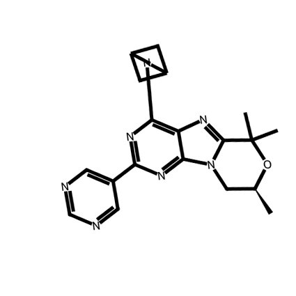 C[C@H]1Cn2c(nc3c(N4CC5CC4C5)nc(-c4cncnc4)nc32)C(C)(C)O1